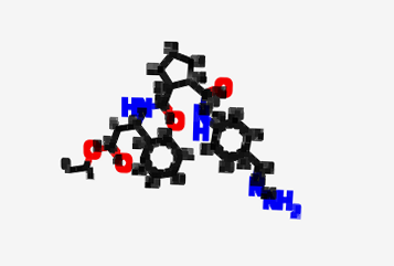 CCOC(=O)CC(NC(=O)C1CCCC1C(=O)Nc1ccc(C=NN)cc1)c1ccccc1